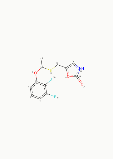 CC(Oc1cccc(F)c1F)SCc1c[nH]c(=O)o1